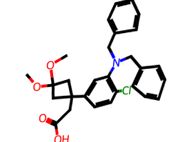 COC1(OC)CC(CC(=O)O)(c2ccc(Cl)c(N(Cc3ccccc3)Cc3ccccc3)c2)C1